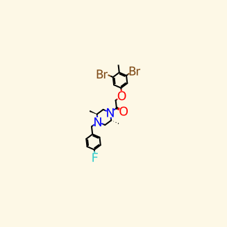 Cc1c(Br)cc(OCC(=O)N2C[C@H](C)N(Cc3ccc(F)cc3)C[C@H]2C)cc1Br